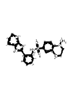 CN1CCOc2cc(S(=O)(=O)Nc3ccccc3-c3nc4ncccc4o3)ccc21